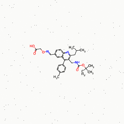 Cc1ccc(-c2c(CNC(=O)OC(C)(C)C)c(CC(C)C)nc3ccc(/C=N/OCC(=O)O)cc23)cc1